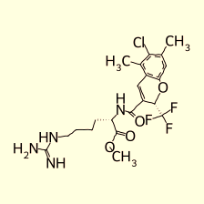 COC(=O)[C@H](CCCCNC(=N)N)NC(=O)C1=Cc2c(cc(C)c(Cl)c2C)O[C@@H]1C(F)(F)F